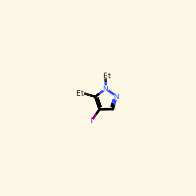 CCc1c(I)[c]nn1CC